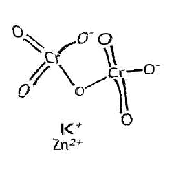 [K+].[O]=[Cr](=[O])([O-])[O][Cr](=[O])(=[O])[O-].[Zn+2]